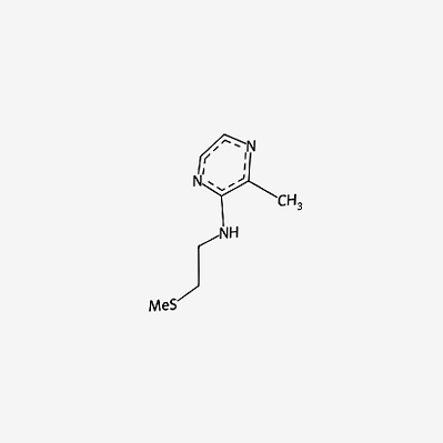 CSCCNc1nccnc1C